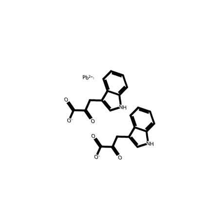 O=C([O-])C(=O)Cc1c[nH]c2ccccc12.O=C([O-])C(=O)Cc1c[nH]c2ccccc12.[Pb+2]